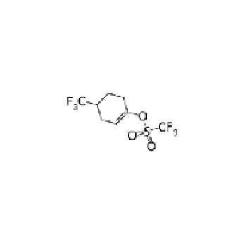 O=S(=O)(OC1=CCC(C(F)(F)F)CC1)C(F)(F)F